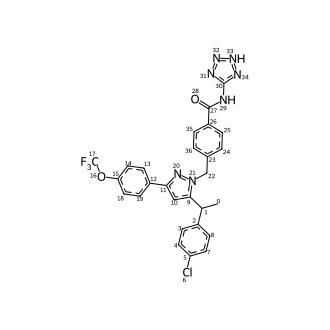 CC(c1ccc(Cl)cc1)c1cc(-c2ccc(OC(F)(F)F)cc2)nn1Cc1ccc(C(=O)Nc2nn[nH]n2)cc1